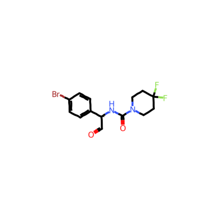 O=C[C](NC(=O)N1CCC(F)(F)CC1)c1ccc(Br)cc1